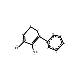 CC(C)C1=CCCC(c2ccccc2)=C1N